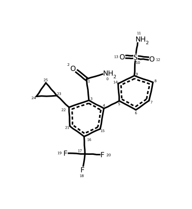 NC(=O)c1c(-c2cccc(S(N)(=O)=O)c2)cc(C(F)(F)F)cc1C1CC1